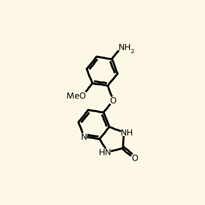 COc1ccc(N)cc1Oc1ccnc2[nH]c(=O)[nH]c12